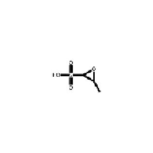 CC1OC1S(=O)(=O)O